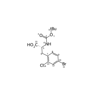 CC(C)(C)OC(=O)N[C@H](Cc1ccc(Br)cc1Cl)C(=O)O